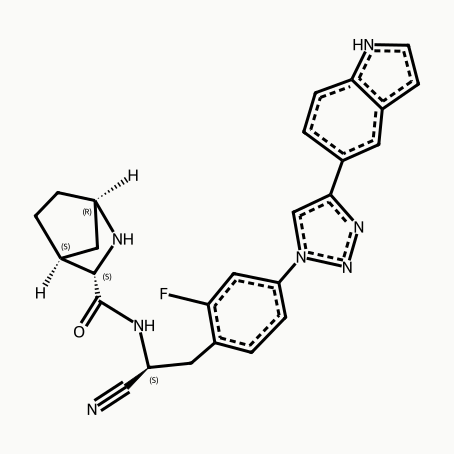 N#C[C@H](Cc1ccc(-n2cc(-c3ccc4[nH]ccc4c3)nn2)cc1F)NC(=O)[C@H]1N[C@@H]2CC[C@H]1C2